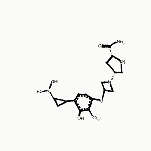 NC(=O)[C@H]1C[C@@H](N2CC(Oc3ccc(C4C[C@H]4B(O)O)c(O)c3C(=O)O)C2)CN1